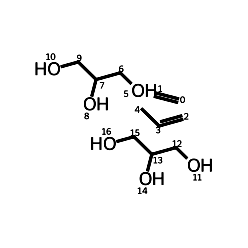 C=C.C=CC.OCC(O)CO.OCC(O)CO